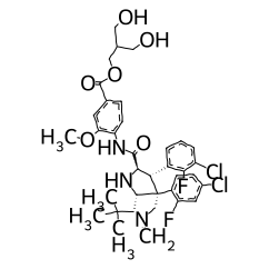 C=NC[C@]1(c2ccc(Cl)cc2F)[C@H](CC(C)(C)C)N[C@@H](C(=O)Nc2ccc(C(=O)OCC(CO)CO)cc2OC)[C@@H]1c1cccc(Cl)c1F